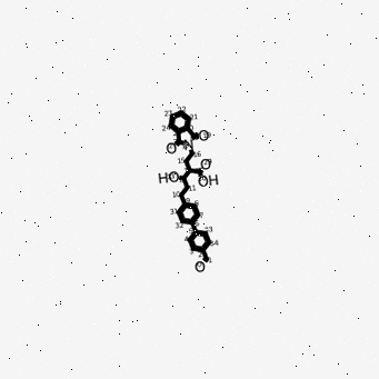 O=Cc1ccc(-c2ccc(CCC(O)C(CCN3C(=O)c4ccccc4C3=O)C(=O)O)cc2)cc1